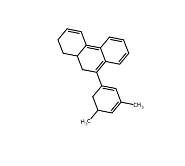 CC1=CC(C)CC(C2=c3ccccc3=C3C=CCCC3C2)=C1